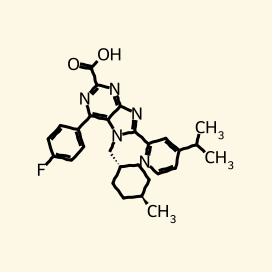 CC(C)c1ccnc(-c2nc3nc(C(=O)O)nc(-c4ccc(F)cc4)c3n2C[C@H]2CC[C@H](C)CC2)c1